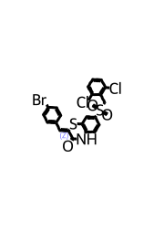 O=C1Nc2ccc(S(=O)(=O)Cc3c(Cl)cccc3Cl)cc2S/C1=C\c1ccc(Br)cc1